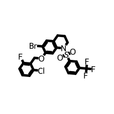 O=S(=O)(c1cccc(C(F)(F)F)c1)N1CCCc2cc(Br)c(OCc3c(F)cccc3Cl)cc21